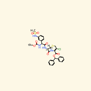 CC(C)(C)OC(=O)NC(C(=O)N[C@@H]1C(=O)N2C(C(=O)OC(c3ccccc3)c3ccccc3)=C(Cl)CS[C@@H]12)c1cccc(NS(C)(=O)=O)c1